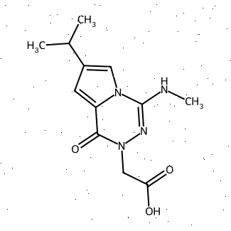 CNc1nn(CC(=O)O)c(=O)c2cc(C(C)C)cn12